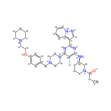 N#CCC(=O)N1CCC[C@@H](Nc2nc(-c3cnn4ccccc34)nc(N3CCN(Cc4ccc(OCCN5CCCCC5)cc4)CC3)c2F)C1